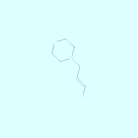 CC/C=C/CN1CCOCC1